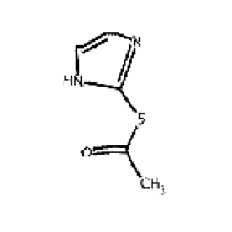 CC(=O)Sc1ncc[nH]1